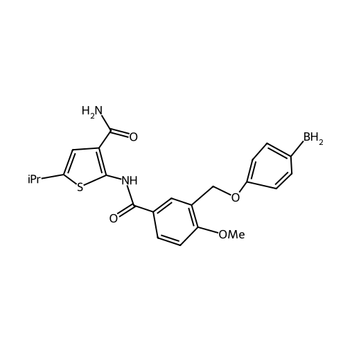 Bc1ccc(OCc2cc(C(=O)Nc3sc(C(C)C)cc3C(N)=O)ccc2OC)cc1